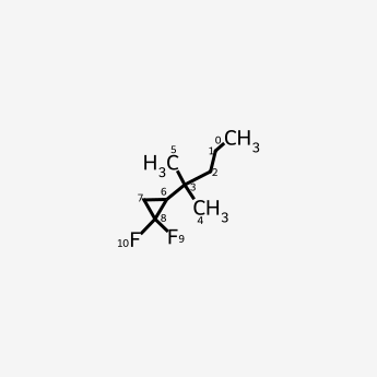 CCCC(C)(C)C1CC1(F)F